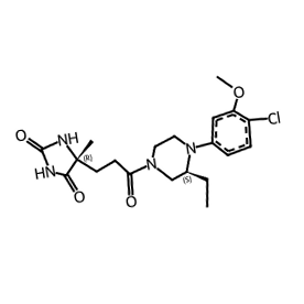 CC[C@H]1CN(C(=O)CC[C@@]2(C)NC(=O)NC2=O)CCN1c1ccc(Cl)c(OC)c1